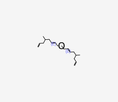 C=CCC(C)C/C=C/COC/C=C/CC(C)CC=C